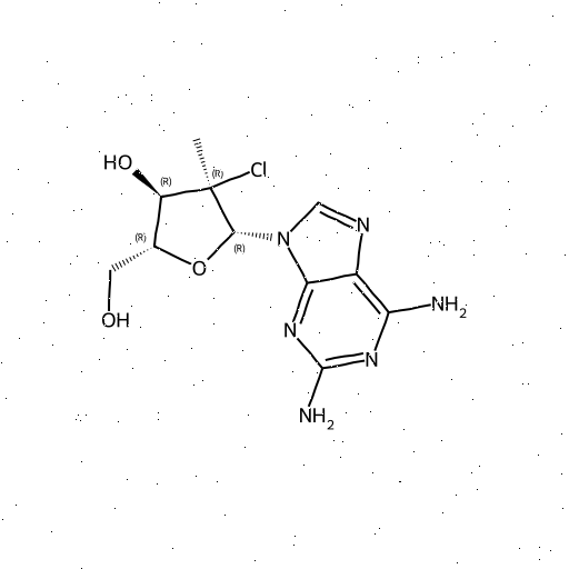 C[C@@]1(Cl)[C@H](O)[C@@H](CO)O[C@H]1n1cnc2c(N)nc(N)nc21